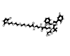 CC(C)(C)[C@H](c1nc(-c2cc(F)ccc2F)cn1Cc1ccccc1)N(CC[C@H](N)C(=O)NCCNC(=O)CCOCCOCCOCCN1C(=O)C=CC1=O)C(=O)CO